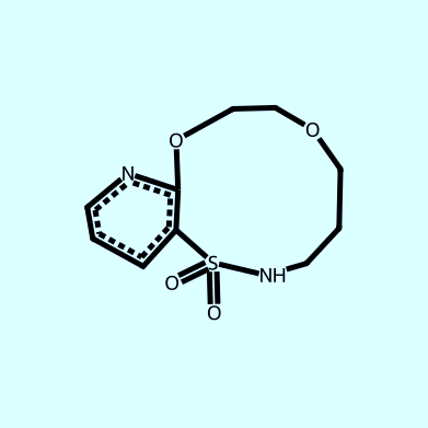 O=S1(=O)NCCCOCCOc2ncccc21